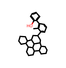 Cc1c(-c2ccccc2O)cccc1C1CC2C3CCCCC3C3CCCC4C5CCCCC5C(C1)C2C34